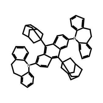 c1ccc2c(c1)CCc1ccccc1N2c1ccc2c(C34CC5CC(CC(C5)C3)C4)c3cc(N4c5ccccc5CCc5ccccc54)ccc3c(C34CC5CC(CC(C5)C3)C4)c2c1